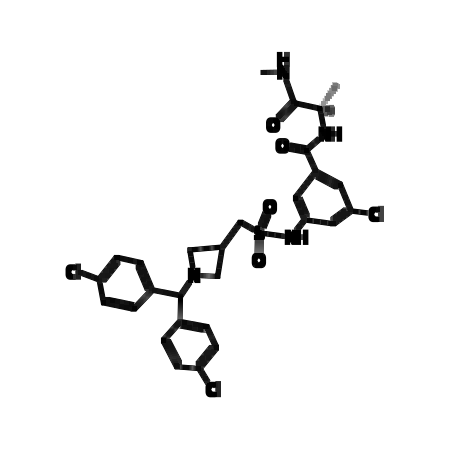 CNC(=O)[C@H](C)NC(=O)c1cc(Cl)cc(NS(=O)(=O)CC2CN(C(c3ccc(Cl)cc3)c3ccc(Cl)cc3)C2)c1